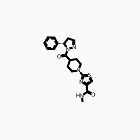 CNC(=O)c1csc(N2CCC(C(=O)N3N=CC[C@H]3c3ccccc3)CC2)n1